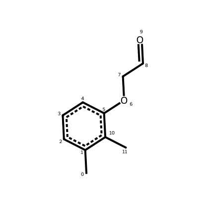 Cc1cccc(OCC=O)c1C